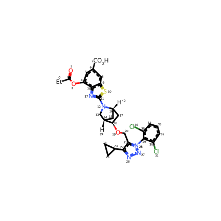 CCC(=O)Oc1cc(C(=O)O)cc2sc(N3C[C@@H]4C[C@H]3C[C@H]4OCc3c(C4CC4)nnn3-c3c(Cl)cccc3Cl)nc12